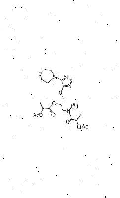 CC(=O)OC(C)C(=O)O[C@H](COc1nsnc1N1CCOCC1)CN(C(=O)C(C)OC(C)=O)C(C)(C)C